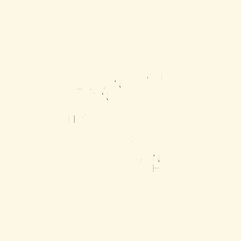 CCc1nn(C)c(CC)c1C1C2CNCC21